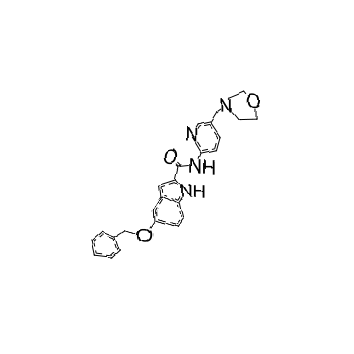 O=C(Nc1ccc(CN2CCOCC2)cn1)c1cc2cc(OCc3ccccc3)ccc2[nH]1